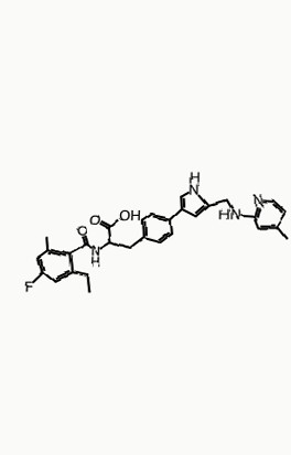 CCc1cc(F)cc(C)c1C(=O)NC(Cc1ccc(-c2c[nH]c(CNc3cc(C)ccn3)c2)cc1)C(=O)O